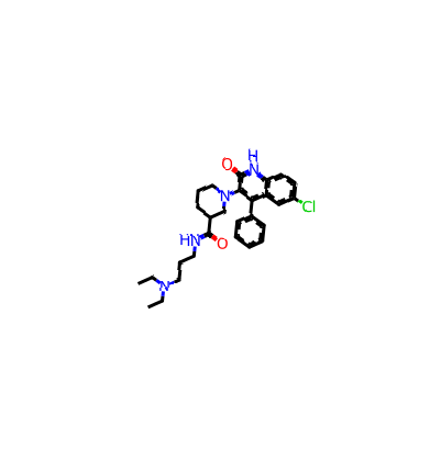 CCN(CC)CCCNC(=O)C1CCCN(c2c(-c3ccccc3)c3cc(Cl)ccc3[nH]c2=O)C1